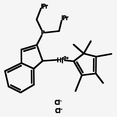 CC1=C(C)C(C)(C)[C]([Hf+2][CH]2C(P(CC(C)C)CC(C)C)=Cc3ccccc32)=C1C.[Cl-].[Cl-]